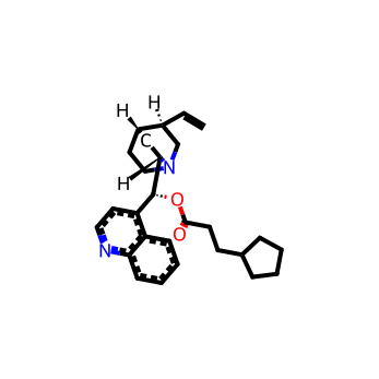 C=C[C@H]1CN2CC[C@H]1C[C@H]2[C@H](OC(=O)CCC1CCCC1)c1ccnc2ccccc12